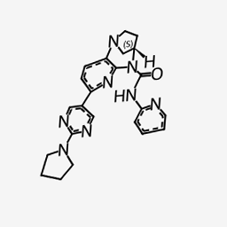 O=C(Nc1ccccn1)N1c2nc(-c3cnc(N4CCCC4)nc3)ccc2N2CC[C@H]1C2